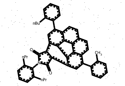 CCCCc1ccccc1-c1cc2c3c(=O)n(-c4c(CCC)cccc4CCC)c(=O)c3c3cc(-c4ccccc4C)c4ccc5ccc1c1c5c4c3c21